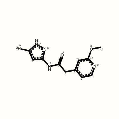 [2H]c1cc(NC(=O)Cc2ccnc(OC)c2)n[nH]1